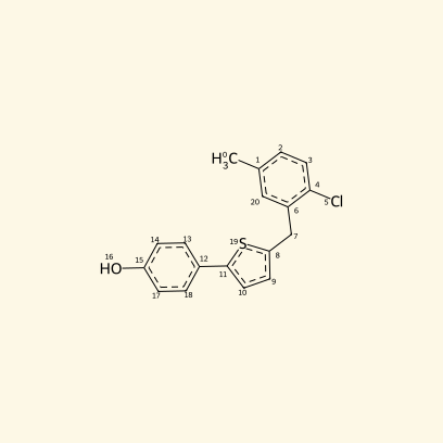 Cc1ccc(Cl)c(Cc2ccc(-c3ccc(O)cc3)s2)c1